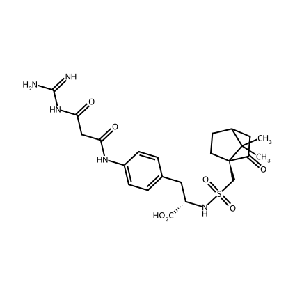 CC1(C)C2CC[C@@]1(CS(=O)(=O)N[C@@H](Cc1ccc(NC(=O)CC(=O)NC(=N)N)cc1)C(=O)O)C(=O)C2